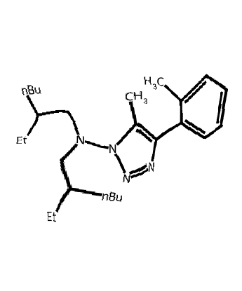 CCCCC(CC)CN(CC(CC)CCCC)n1nnc(-c2ccccc2C)c1C